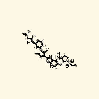 CCS(=O)(=O)N1CCC(Nc2c(Br)cnc3nc(-c4cc(C)n(-c5cccc(NC(=O)CN(C)C)c5)c4C)[nH]c23)C1